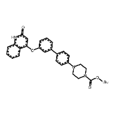 CC(C)(C)OC(=O)N1CCN(c2ccc(-c3cccc(Oc4cc(=O)[nH]c5ccccc45)c3)cc2)CC1